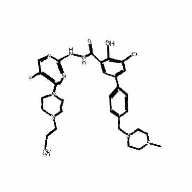 CN1CCN(Cc2ccc(-c3cc(Cl)c(O)c(C(=O)NNc4ncc(F)c(N5CCN(CCO)CC5)n4)c3)cc2)CC1